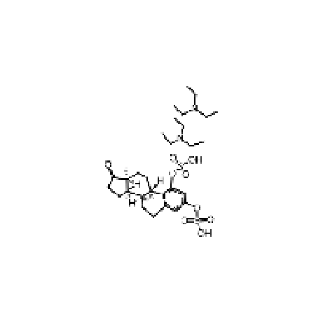 CCN(CC)CC.CCN(CC)CC.C[C@]12CC[C@@H]3c4c(cc(OS(=O)(=O)O)cc4OS(=O)(=O)O)CC[C@H]3[C@@H]1CCC2=O